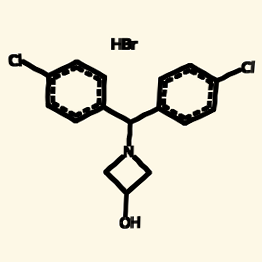 Br.OC1CN(C(c2ccc(Cl)cc2)c2ccc(Cl)cc2)C1